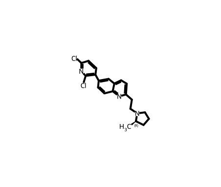 C[C@@H]1CCCN1CCc1ccc2cc(-c3ccc(Cl)nc3Cl)ccc2n1